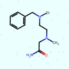 CCN(CCN(C)CC(N)=O)Cc1ccccc1